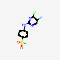 O=S(=O)(Cl)c1ccc(Nc2ncc(F)c(Cl)n2)cc1